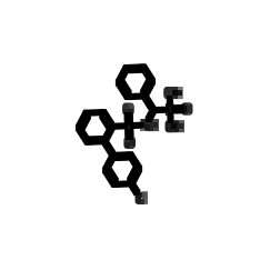 O=P(O)(O)C(NS(=O)(=O)c1ccccc1-c1ccc(Cl)cc1)c1ccccc1